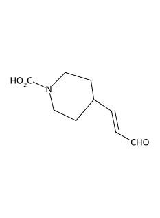 O=CC=CC1CCN(C(=O)O)CC1